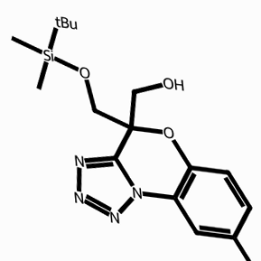 CC(C)(C)[Si](C)(C)OCC1(CO)Oc2ccc([N+](=O)[O-])cc2-n2nnnc21